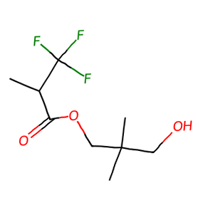 CC(C(=O)OCC(C)(C)CO)C(F)(F)F